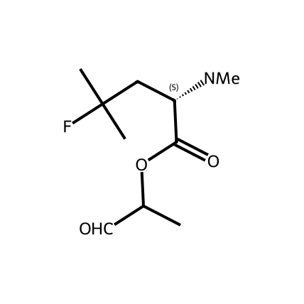 CN[C@@H](CC(C)(C)F)C(=O)OC(C)C=O